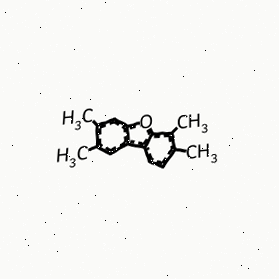 Cc1cc2oc3c(C)c(C)ccc3c2cc1C